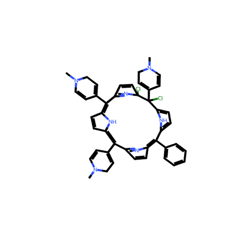 CN1C=CC(C2=c3ccc([nH]3)=C(C3=CCN(C)C=C3)C3=NC(Cl)(C=C3)C(Cl)(C3=CCN(C)C=C3)c3ccc([nH]3)C(c3ccccc3)=C3C=CC2=N3)=CC1